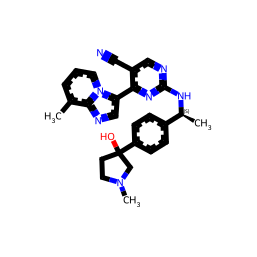 Cc1cccn2c(-c3nc(N[C@@H](C)c4ccc(C5(O)CCN(C)C5)cc4)ncc3C#N)cnc12